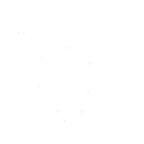 CC(C)C[C@H](NC(=O)[C@H](CCCN)NC(=O)[C@@H](NC(=O)[C@@H]1CCCN1C(=O)[C@@H](Cc1ccccc1)NC(=O)OC(C)(C)C)C(C)C(=O)OCc1ccccc1)C(=O)NC1CC(C)(C)N(O)C(C)(C)C1